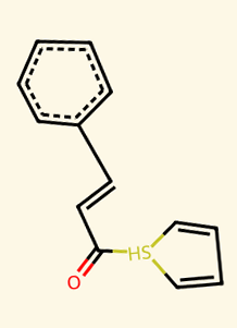 O=C(/C=C/c1ccccc1)[SH]1C=CC=C1